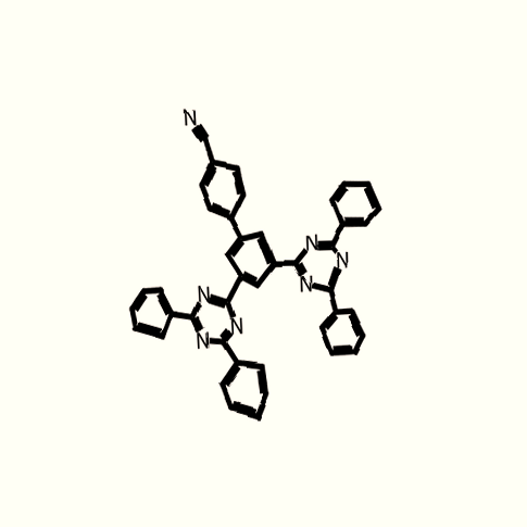 N#Cc1ccc(-c2cc(-c3nc(-c4ccccc4)nc(-c4ccccc4)n3)cc(-c3nc(-c4ccccc4)nc(-c4ccccc4)n3)c2)cc1